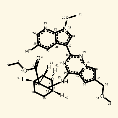 CCOC(=O)[C@H]1[C@H]2CC[C@H](CC2)[C@@H]1Nc1nc(-c2cn(SI)c3ncc(F)cc23)nn2cc(COC)cc12